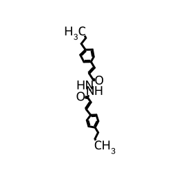 CCCc1ccc(C=CC(=O)NNC(=O)C=Cc2ccc(CCC)cc2)cc1